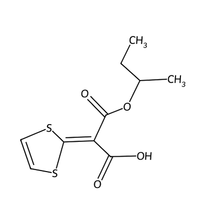 CCC(C)OC(=O)C(C(=O)O)=C1SC=CS1